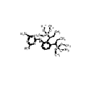 CCC(c1cccc(Nc2nc(N)nc(N)n2)c1C(CC)[Si](OC)(OC)OC)[Si](OC)(OC)OC